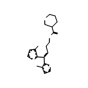 Cc1ccsc1C(=CCCOC(=O)C1CCCNC1)c1sccc1C